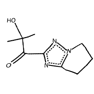 CC(C)(O)C(=O)c1nc2n(n1)CCC2